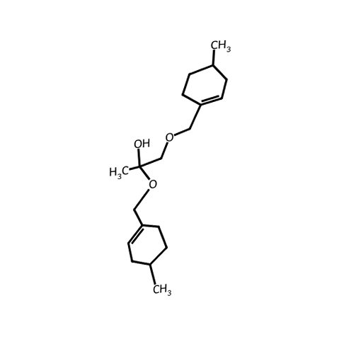 CC1CC=C(COCC(C)(O)OCC2=CCC(C)CC2)CC1